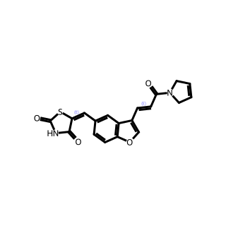 O=C1NC(=O)/C(=C\c2ccc3occ(/C=C/C(=O)N4CC=CC4)c3c2)S1